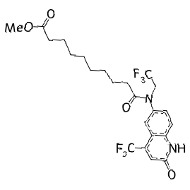 COC(=O)CCCCCCCCC(=O)N(CC(F)(F)F)c1ccc2[nH]c(=O)cc(C(F)(F)F)c2c1